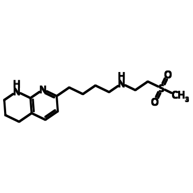 CS(=O)(=O)CCNCCCCc1ccc2c(n1)NCCC2